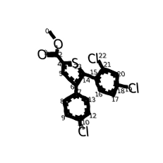 COC(=O)c1cc(-c2ccc(Cl)cc2)c(-c2ccc(Cl)cc2Cl)s1